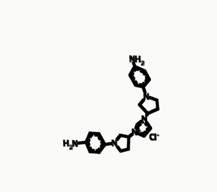 Nc1ccc(N2CCC(n3cc[n+](C4CCN(c5ccc(N)cc5)C4)c3)C2)cc1.[Cl-]